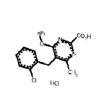 CCCOc1nc(C(=O)O)nc(C)c1Cc1ccccc1Cl.Cl